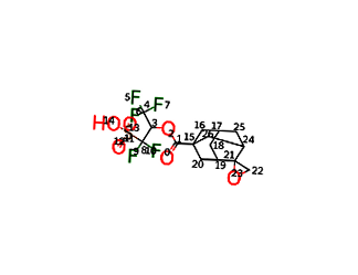 O=C(OC(C(F)(F)F)C(F)(F)S(=O)(=O)O)C12CC3CC(C1)C1(CO1)C(C3)C2